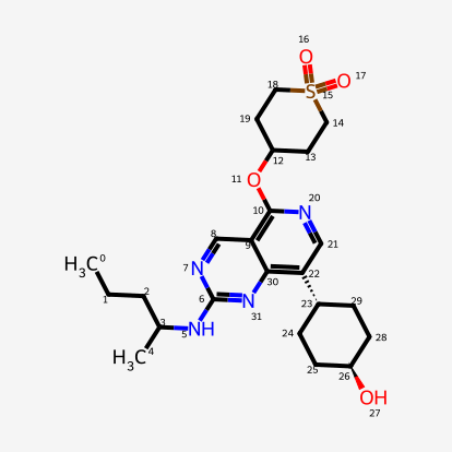 CCCC(C)Nc1ncc2c(OC3CCS(=O)(=O)CC3)ncc([C@H]3CC[C@H](O)CC3)c2n1